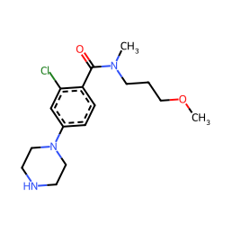 COCCCN(C)C(=O)c1ccc(N2CCNCC2)cc1Cl